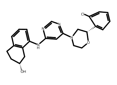 O[C@@H]1CCc2cccc(Nc3cc(N4CCO[C@@H](c5ccccc5Cl)C4)ncn3)c2C1